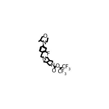 CC1COCCN1c1ccc(CN2CC3CN(C(=O)OC(C(F)(F)F)C(F)(F)F)CC3C2)c(F)c1